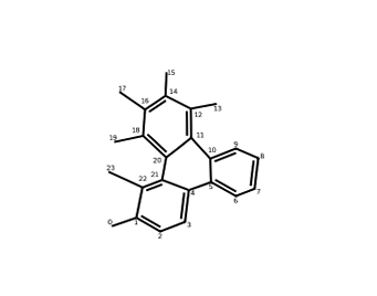 Cc1ccc2c3ccccc3c3c(C)c(C)c(C)c(C)c3c2c1C